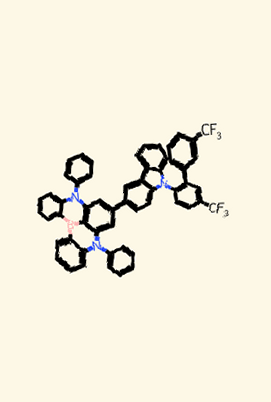 FC(F)(F)c1cccc(-c2cc(C(F)(F)F)ccc2-n2c3ccccc3c3cc(-c4cc5c6c(c4)N(c4ccccc4)c4ccccc4B6c4ccccc4N5c4ccccc4)ccc32)c1